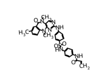 C=CC(=O)Nc1ccc(NS(=O)(=O)c2ccc(Nc3ncc4c(n3)N(C)c3ccc(C)cc3C(=O)N4C)cc2)cc1